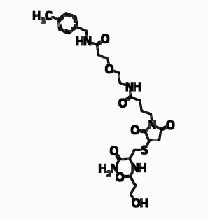 Cc1ccc(CNC(=O)CCOCCNC(=O)CCCN2C(=O)CC(SCC(NC(=O)CCO)C(N)=O)C2=O)cc1